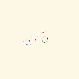 CCCCCC(=O)c1ccccc1NC(=O)Nc1nc(C(C)C)ns1